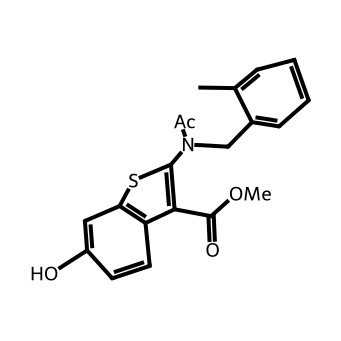 COC(=O)c1c(N(Cc2ccccc2C)C(C)=O)sc2cc(O)ccc12